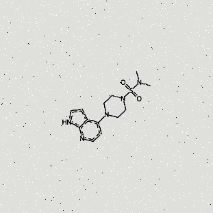 CN(C)S(=O)(=O)N1CCN(c2ccnc3[nH]ccc23)CC1